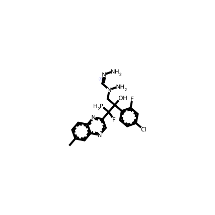 Cc1ccc2nc(C(F)(P)C(O)(CN(N)/C=N\N)c3ccc(Cl)cc3F)cnc2c1